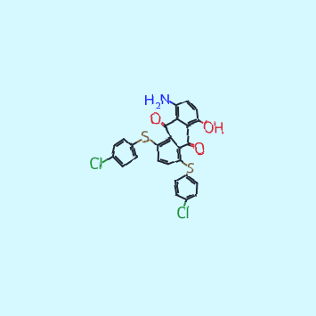 Nc1ccc(O)c2c1C(=O)c1c(Sc3ccc(Cl)cc3)ccc(Sc3ccc(Cl)cc3)c1C2=O